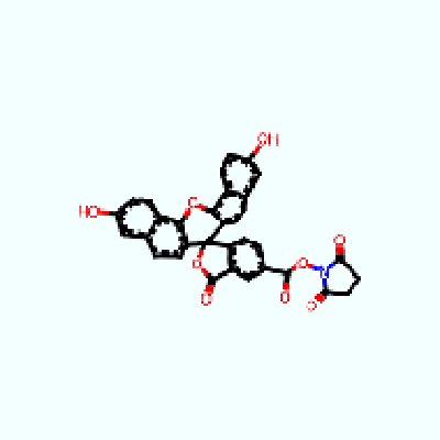 O=C(ON1C(=O)CCC1=O)c1ccc2c(c1)C(=O)OC21c2ccc3cc(O)ccc3c2Oc2c1ccc1cc(O)ccc21